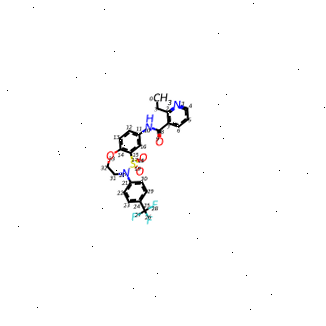 CCc1ncccc1C(=O)Nc1ccc2c(c1)S(=O)(=O)N(c1ccc(C(F)(F)F)cc1)CCO2